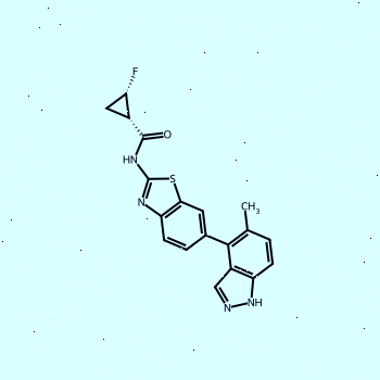 Cc1ccc2[nH]ncc2c1-c1ccc2nc(NC(=O)[C@@H]3C[C@@H]3F)sc2c1